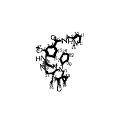 COc1cc(C(=O)NCc2cccn2C)ccc1Nc1ncc2c(n1)N(C1CCCC1)CC1(CC1)C(=O)N2C